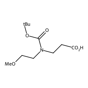 COCCN(CCC(=O)O)C(=O)OC(C)(C)C